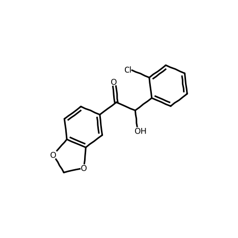 O=C(c1ccc2c(c1)OCO2)C(O)c1ccccc1Cl